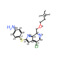 C[Si](C)(C)CCOCC1N=CC(Cl)=C2C=C(Sc3ccc(N)cc3)N=C21